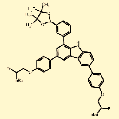 CCCCC(CC)COc1ccc(-c2ccc3[nH]c4c(-c5cccc(B6OC(C)(C)C(C)(C)O6)c5)cc(-c5ccc(OCC(CC)CCCC)cc5)cc4c3c2)cc1